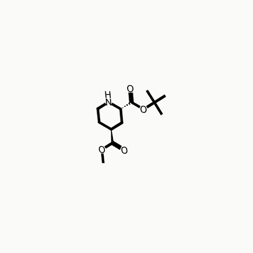 COC(=O)[C@H]1CCN[C@H](C(=O)OC(C)(C)C)C1